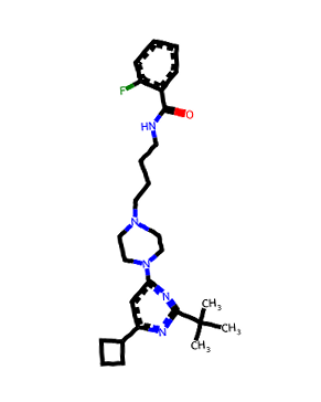 CC(C)(C)c1nc(C2CCC2)cc(N2CCN(CCCCNC(=O)c3ccccc3F)CC2)n1